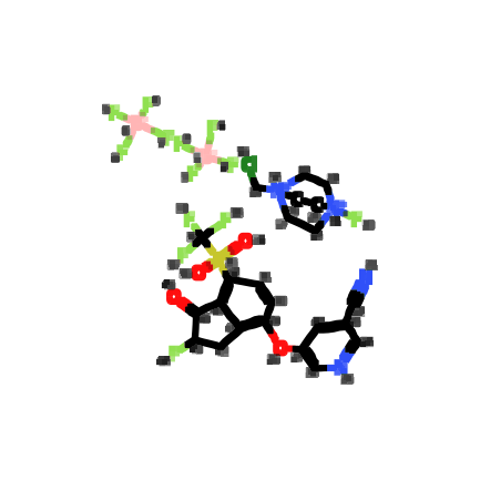 F[B-](F)(F)F.F[B-](F)(F)F.F[N+]12CC[N+](CCl)(CC1)CC2.N#Cc1cncc(Oc2ccc(S(=O)(=O)C(F)(F)F)c3c2CC(F)C3=O)c1